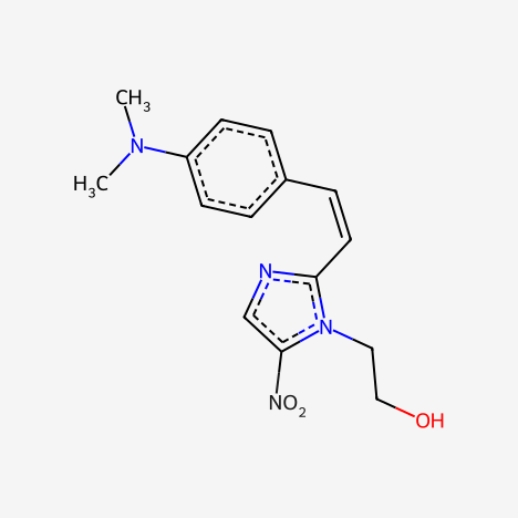 CN(C)c1ccc(/C=C\c2ncc([N+](=O)[O-])n2CCO)cc1